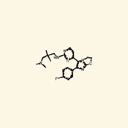 CN(C)CC(C)(C)CNc1nccc(-c2c(-c3ccc(F)cc3)nc3n2CCO3)n1